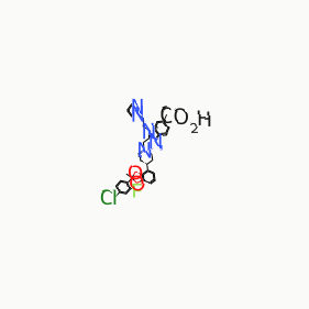 CC1(c2ccc(Cl)cc2F)Oc2cccc(C3CCN(Cc4nc5ccc(C(=O)O)cc5n4CCn4cccn4)CC3)c2O1